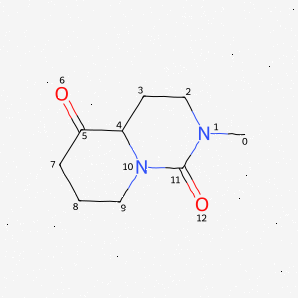 CN1CCC2C(=O)CCCN2C1=O